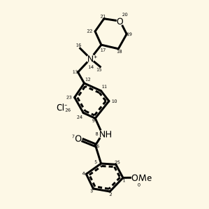 COc1cccc(C(=O)Nc2ccc(C[N+](C)(C)C3CCOCC3)cc2)c1.[Cl-]